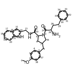 COc1ccc(CC2CC(C(=O)NCc3cc4ccncc4[nH]3)N(C(=O)C(N)CCc3ccccc3)C2)cc1